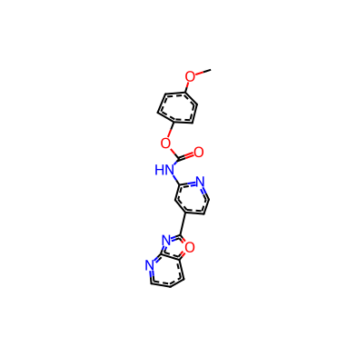 COc1ccc(OC(=O)Nc2cc(-c3nc4ncccc4o3)ccn2)cc1